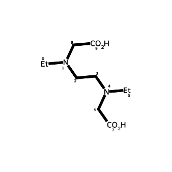 CCN(CCN(CC)CC(=O)O)CC(=O)O